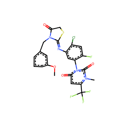 COc1cccc(CN2C(=O)CSC2=Nc2cc(-n3c(=O)cc(C(F)(F)F)n(C)c3=O)c(F)cc2Cl)c1